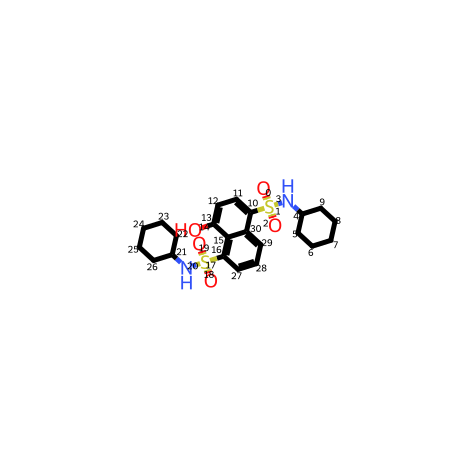 O=S(=O)(NC1CCCCC1)c1ccc(O)c2c(S(=O)(=O)NC3CCCCC3)cccc12